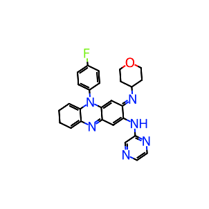 Fc1ccc(-n2c3c/c(=N\C4CCOCC4)c(Nc4cnccn4)cc-3nc3c2=CCCC=3)cc1